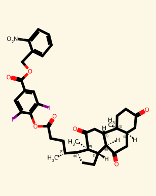 C[C@H](CCC(=O)Oc1c(I)cc(C(=O)OCc2ccccc2[N+](=O)[O-])cc1I)[C@H]1CC[C@H]2[C@@H]3C(=O)C[C@@H]4CC(=O)CC[C@]4(C)[C@H]3CC(=O)[C@]12C